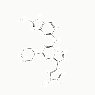 Cc1nc2cc(Nc3cc(C4CCCNC4)nc4c(-c5cnn(C)c5)cnn34)ccc2s1